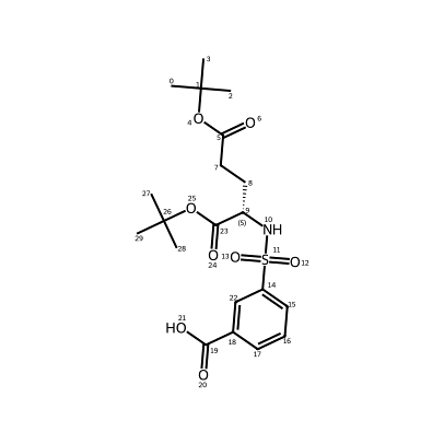 CC(C)(C)OC(=O)CC[C@H](NS(=O)(=O)c1cccc(C(=O)O)c1)C(=O)OC(C)(C)C